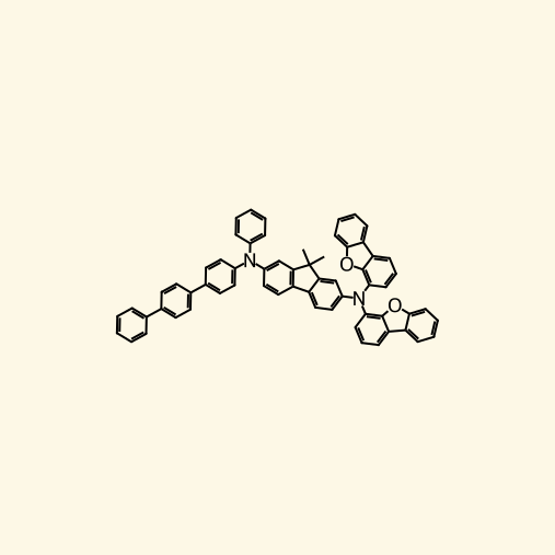 CC1(C)c2cc(N(c3ccccc3)c3ccc(-c4ccc(-c5ccccc5)cc4)cc3)ccc2-c2ccc(N(c3cccc4c3oc3ccccc34)c3cccc4c3oc3ccccc34)cc21